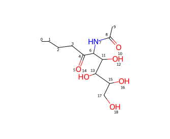 CCCCC(=O)C(NC(C)=O)C(O)C(O)C(O)CO